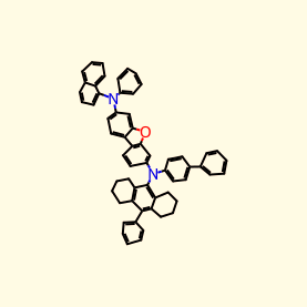 c1ccc(-c2ccc(N(c3ccc4c(c3)oc3cc(N(c5ccccc5)c5cccc6ccccc56)ccc34)c3c4c(c(-c5ccccc5)c5c3CCCC5)CCCC4)cc2)cc1